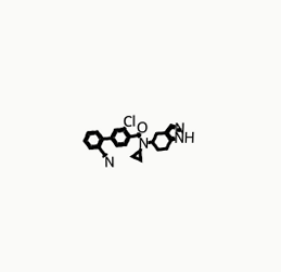 N#Cc1ccccc1-c1ccc(C(=O)N(C2CC2)C2CCc3[nH]ncc3C2)c(Cl)c1